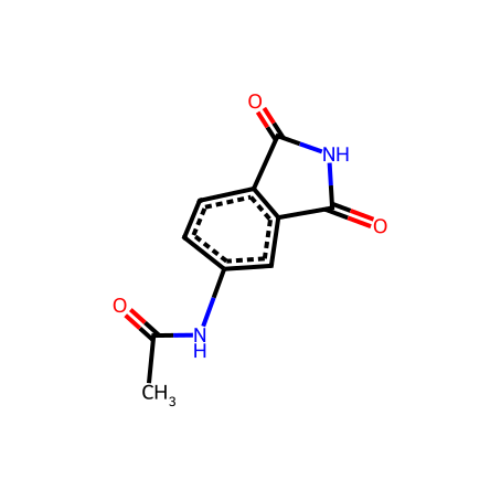 CC(=O)Nc1ccc2c(c1)C(=O)NC2=O